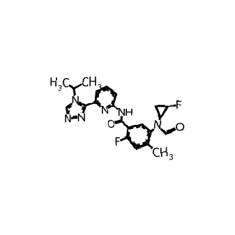 Cc1cc(F)c(C(=O)Nc2cccc(-c3nncn3C(C)C)n2)cc1N(C=O)C1C[C@H]1F